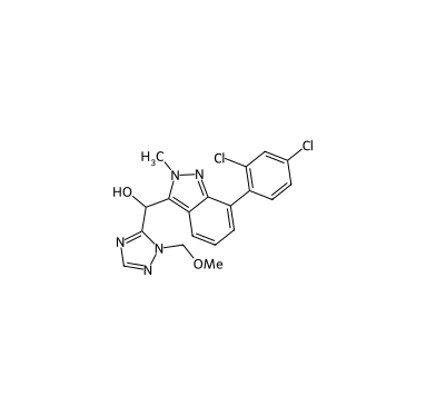 COCn1ncnc1C(O)c1c2cccc(-c3ccc(Cl)cc3Cl)c2nn1C